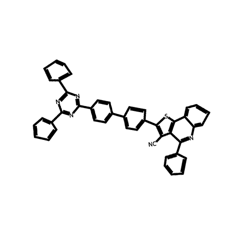 N#Cc1c(-c2ccc(-c3ccc(-c4nc(-c5ccccc5)nc(-c5ccccc5)n4)cc3)cc2)sc2c1c(-c1ccccc1)nc1ccccc12